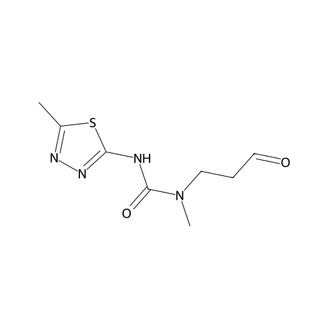 Cc1nnc(NC(=O)N(C)CCC=O)s1